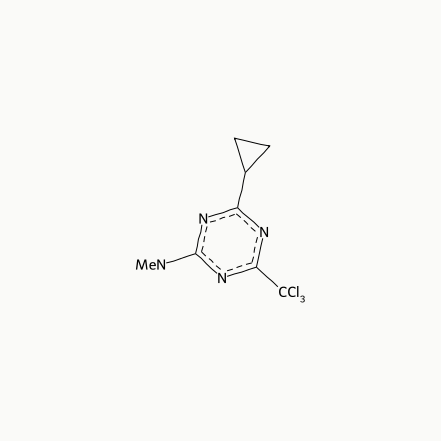 CNc1nc(C2CC2)nc(C(Cl)(Cl)Cl)n1